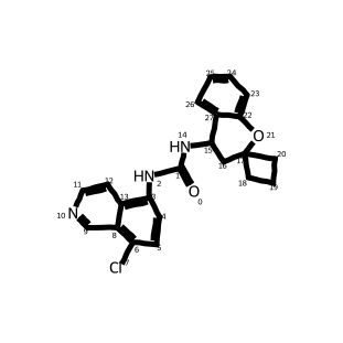 O=C(Nc1ccc(Cl)c2cnccc12)NC1CC2(CCC2)Oc2ccccc21